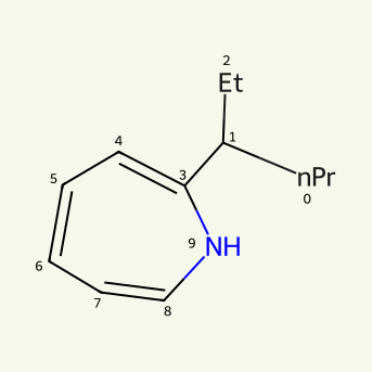 CCCC(CC)C1=CC=CC=CN1